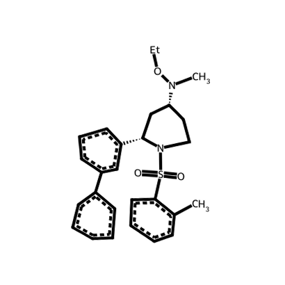 CCON(C)[C@@H]1CCN(S(=O)(=O)c2ccccc2C)[C@H](c2cccc(-c3ccccc3)c2)C1